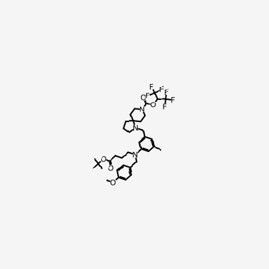 COc1ccc(CN(CCCC(=O)OC(C)(C)C)c2cc(C)cc(CN3CCCC34CCN(C(=O)OC(C(F)(F)F)C(F)(F)F)CC4)c2)cc1